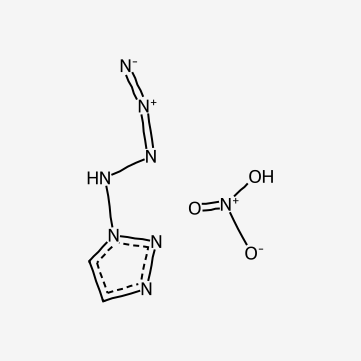 O=[N+]([O-])O.[N-]=[N+]=NNn1ccnn1